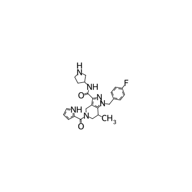 CC1CN(C(=O)c2ccc[nH]2)Cc2c(C(=O)NC3CCNC3)nn(Cc3ccc(F)cc3)c21